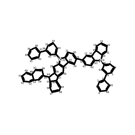 c1ccc(-c2cccc(-n3c4ccccc4c4cc(-c5ccc6c(c5)c5cc7c(cc5n6-c5cccc(-c6ccccc6)c5)C(c5ccc6ccccc6c5)c5ccccc5-7)ccc43)c2)cc1